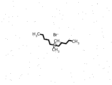 CCCCC[N+](C)(C)CCCCC.[Br-]